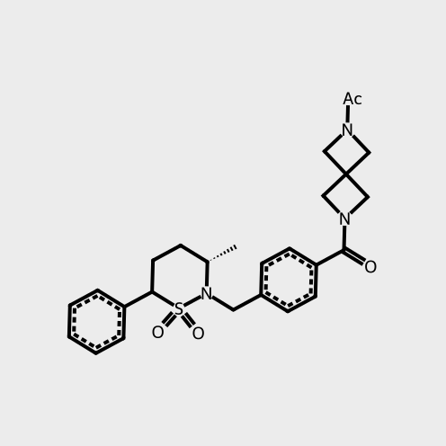 CC(=O)N1CC2(C1)CN(C(=O)c1ccc(CN3[C@@H](C)CCC(c4ccccc4)S3(=O)=O)cc1)C2